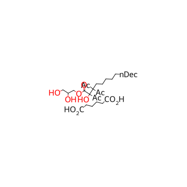 CCCCCCCCCCCCCCCC(C(C)=O)(C(C)=O)C(O)(C(C)=O)C(=O)OCC(O)CO.O=C(O)CCCCC(=O)O